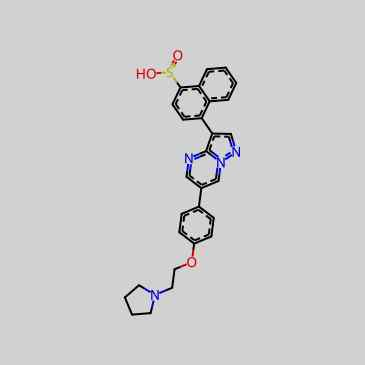 O=S(O)c1ccc(-c2cnn3cc(-c4ccc(OCCN5CCCC5)cc4)cnc23)c2ccccc12